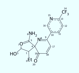 CCC(CO)C1(C(N)=O)N=C(c2ccc(C(F)(F)F)nc2)C=CC1=O